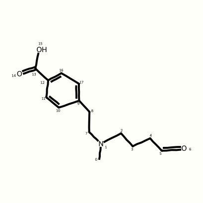 CN(CCCC=O)CCc1ccc(C(=O)O)cc1